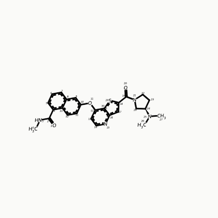 CNC(=O)c1cccc2cc(Oc3ccnc4cc(C(=O)N5CC[C@@H](N(C)C)C5)sc34)ccc12